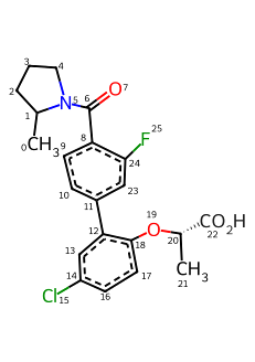 CC1CCCN1C(=O)c1ccc(-c2cc(Cl)ccc2O[C@@H](C)C(=O)O)cc1F